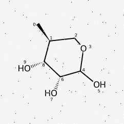 C[C@H]1COC(O)[C@H](O)[C@@H]1O